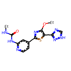 CCNC(=O)Nc1cc(-c2nc(OCC)c(-c3nc[nH]n3)s2)ccn1